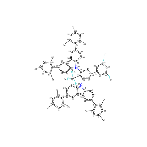 Cc1cc(C)c(-c2ccc3c(c2)c2cc(-c4c(C)cc(C)cc4C)ccc2n3-c2cc(-c3cc(F)cc(F)c3)cc(-n3c4ccc(-c5c(C)cc(C)cc5C)cc4c4cc(-c5c(C)cc(C)cc5C)ccc43)c2C(F)(F)F)c(C)c1